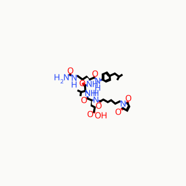 CC(C)Cc1ccc(NC(=O)[C@H](CCCNC(N)=O)NC(=O)[C@@H](NC(=O)[C@H](CCC(=O)O)NC(=O)CCCCCN2C(=O)C=CC2=O)C(C)C)cc1